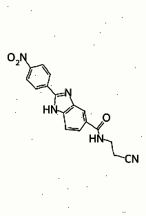 N#CCCNC(=O)c1ccc2[nH]c(-c3ccc([N+](=O)[O-])cc3)nc2c1